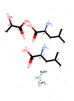 CC(C)C[C@H](N)C(=O)O.CC(C)C[C@H](N)C(=O)O.CC(O)C(=O)O.Cl.[CaH2].[NaH]